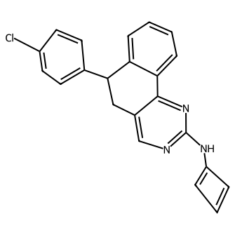 Clc1ccc(C2Cc3cnc(NC4=CC=C4)nc3-c3ccccc32)cc1